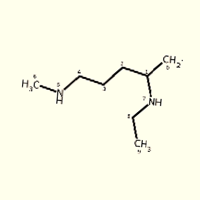 [CH2]C(CCCNC)NCC